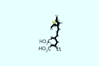 CCC(CC(=O)O)CC(CCCc1cc(C)sc1C)CC(=O)O